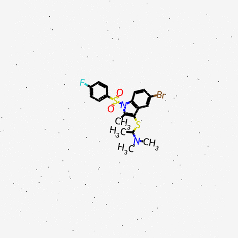 Cc1c(SC(C)N(C)C)c2cc(Br)ccc2n1S(=O)(=O)c1ccc(F)cc1